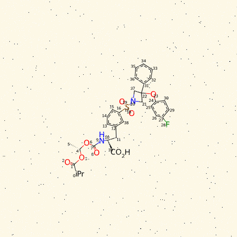 CC(C)C(=O)O[C@H](C)OC(=O)N[C@@H](Cc1cccc(S(=O)(=O)N2CC(Oc3ccc(F)cc3)(c3ccccc3)C2)c1)C(=O)O